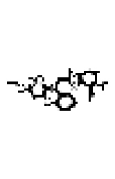 CCOC(=O)CC1Oc2ccccc2N(Cc2nc3ccc(F)c(F)c3s2)C1=O